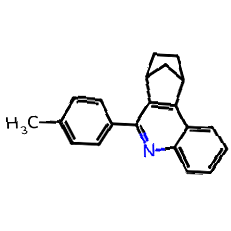 Cc1ccc(-c2nc3ccccc3c3c2C2CCC3C2)cc1